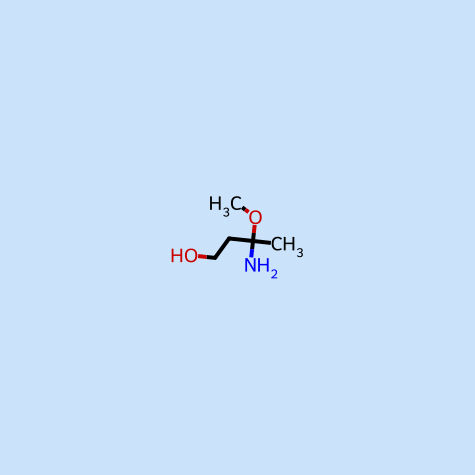 COC(C)(N)CCO